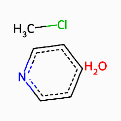 CCl.O.c1ccncc1